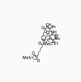 CC[C@H](C)[C@@H]([C@@H](CC)OC)N(C)C(=O)[C@@H](NC(=O)[C@H](C(C)C)N(C)C(=O)OCc1ccc(CC(=O)CCCCCN2C(=O)CC(SC)C2=O)cc1)C(C)C